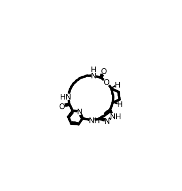 O=C1NCCCCNC(=O)c2cccc(n2)Nc2cc([nH]n2)[C@H]2CC[C@H](C2)O1